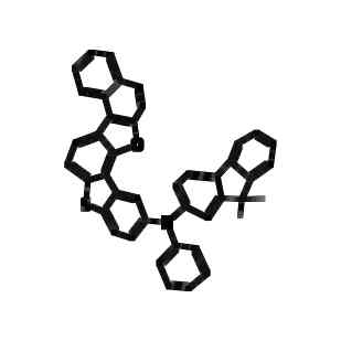 CC1(C)c2ccccc2-c2ccc(N(c3ccccc3)c3ccc4sc5ccc6c(oc7ccc8ccccc8c76)c5c4c3)cc21